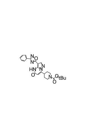 CC(C)(C)OC(=O)N1CCC(c2cc(=O)[nH]c3c(-c4nc(-c5ccccc5)no4)cnn23)CC1